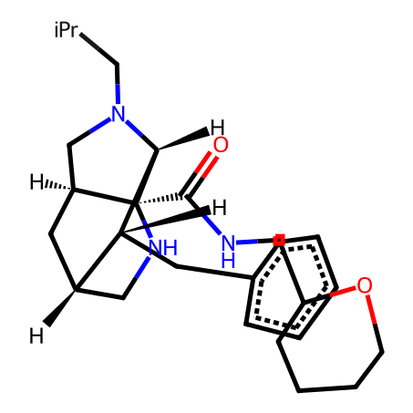 CC(C)CN1C[C@@H]2C[C@H]3CN[C@]2(C(=O)NCC2CCCCO2)[C@@H]1[C@@H]3Cc1ccccc1